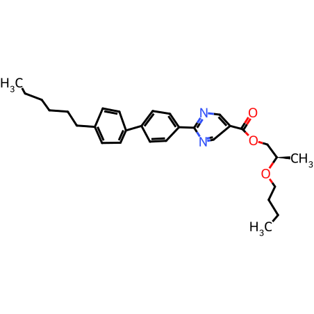 CCCCCCc1ccc(-c2ccc(-c3ncc(C(=O)OC[C@@H](C)OCCCC)cn3)cc2)cc1